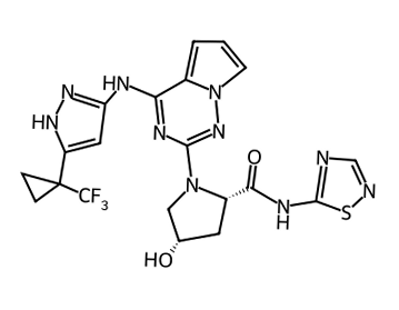 O=C(Nc1ncns1)[C@@H]1C[C@H](O)CN1c1nc(Nc2cc(C3(C(F)(F)F)CC3)[nH]n2)c2cccn2n1